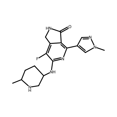 CC1CCC(Nc2nc(-c3cnn(C)c3)c3c(c2F)CNC3=O)CN1